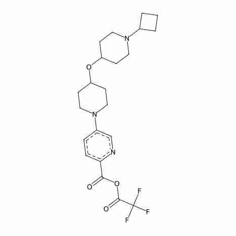 O=C(OC(=O)C(F)(F)F)c1ccc(N2CCC(OC3CCN(C4CCC4)CC3)CC2)cn1